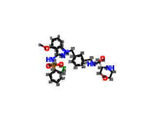 COc1cccc2c1c(NS(=O)(=O)c1ccccc1F)nn2Cc1cccc(CNC(=O)[C@H]2COCCN2)c1